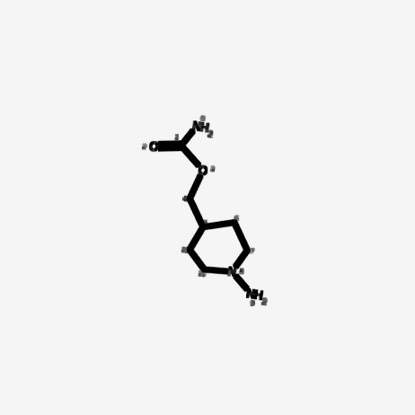 NC(=O)OCC1CCN(N)CC1